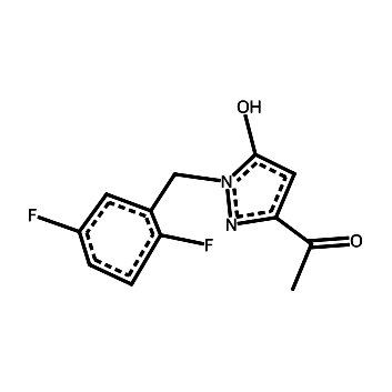 CC(=O)c1cc(O)n(Cc2cc(F)ccc2F)n1